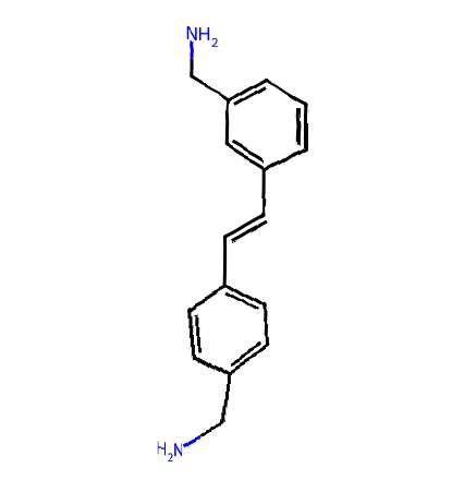 NCc1ccc(C=Cc2cccc(CN)c2)cc1